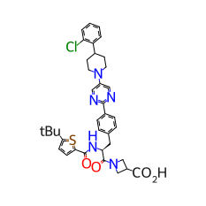 CC(C)(C)c1ccc(C(=O)N[C@@H](Cc2ccc(-c3ncc(N4CCC(c5ccccc5Cl)CC4)cn3)cc2)C(=O)N2CC(C(=O)O)C2)s1